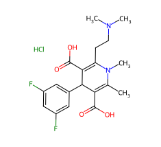 CC1=C(C(=O)O)C(c2cc(F)cc(F)c2)C(C(=O)O)=C(CCN(C)C)N1C.Cl